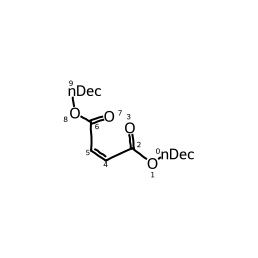 CCCCCCCCCCOC(=O)/C=C\C(=O)OCCCCCCCCCC